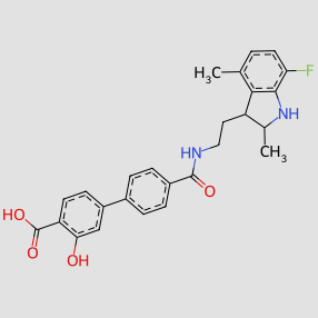 Cc1ccc(F)c2c1C(CCNC(=O)c1ccc(-c3ccc(C(=O)O)c(O)c3)cc1)C(C)N2